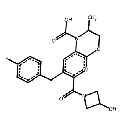 CC1COc2nc(C(=O)N3CC(O)C3)c(Cc3ccc(F)cc3)cc2N1C(=O)O